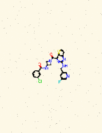 C[C@H](Nc1nc(C(=O)N2CC(NC(=O)c3cccc(Cl)c3)C2)c2sccc2n1)c1cncc(F)c1